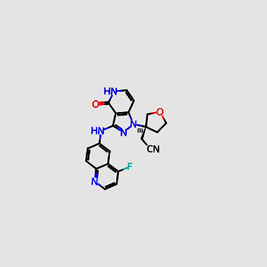 N#CC[C@]1(n2nc(Nc3ccc4nccc(F)c4c3)c3c(=O)[nH]ccc32)CCOC1